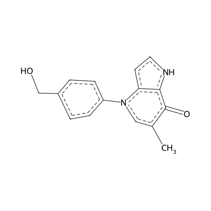 Cc1cn(-c2ccc(CO)cc2)c2cc[nH]c2c1=O